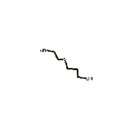 CCCCCSCC[CH]O